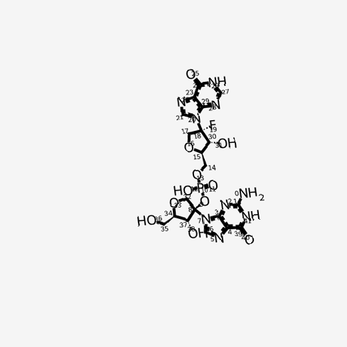 Nc1nc2c(ncn2[C@@]2(OP(=O)(O)OC[C@H]3OC[C@@](F)(n4cnc5c(=O)[nH]cnc54)[C@@H]3O)CO[C@H](CO)[C@H]2O)c(=O)[nH]1